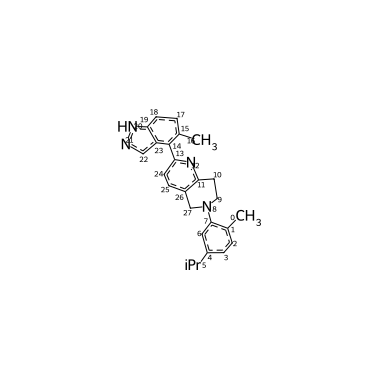 Cc1ccc(C(C)C)cc1N1CCc2nc(-c3c(C)ccc4[nH]ncc34)ccc2C1